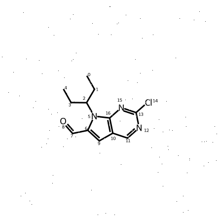 CCC(CC)n1c(C=O)cc2cnc(Cl)nc21